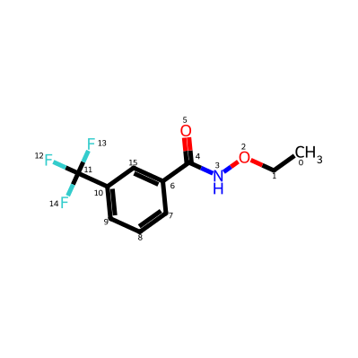 CCONC(=O)c1cccc(C(F)(F)F)c1